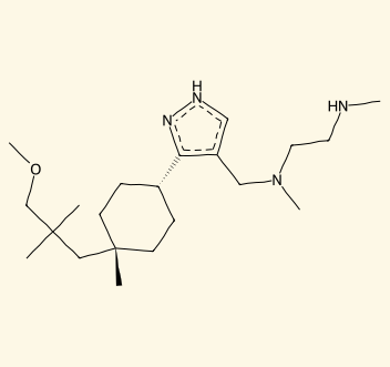 CNCCN(C)Cc1c[nH]nc1[C@H]1CC[C@@](C)(CC(C)(C)COC)CC1